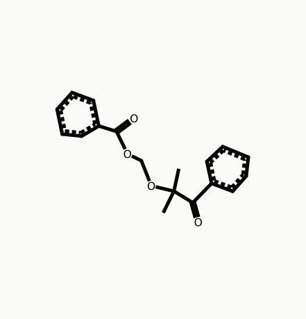 CC(C)(OCOC(=O)c1ccccc1)C(=O)c1ccccc1